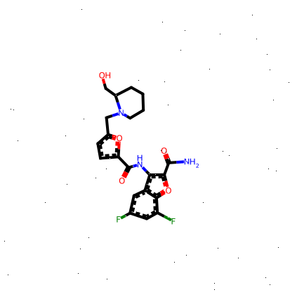 NC(=O)c1oc2c(F)cc(F)cc2c1NC(=O)c1ccc(CN2CCCCC2CO)o1